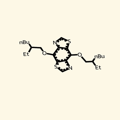 CCCCC(CC)COc1c2ncsc2c(OCC(CC)CCCC)c2ncsc12